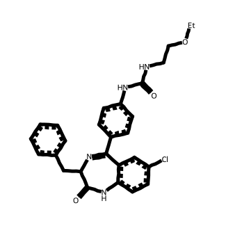 CCOCCNC(=O)Nc1ccc(C2=NC(Cc3ccccc3)C(=O)Nc3ccc(Cl)cc32)cc1